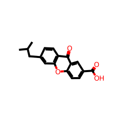 CC(C)Cc1ccc2c(=O)c3cc(C(=O)O)ccc3oc2c1